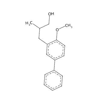 COc1ccc(-c2ccccc2)cc1CC(C)CO